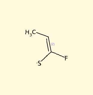 C/C=C(/F)[S]